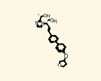 C[C@H](O)c1nccn1[C@@H](/C=C/c1ccc(-c2ccc(OC3CCOC3)cc2)cc1)CO